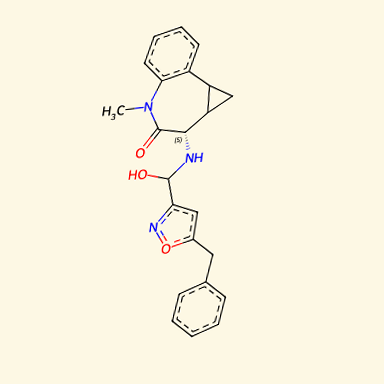 CN1C(=O)[C@@H](NC(O)c2cc(Cc3ccccc3)on2)C2CC2c2ccccc21